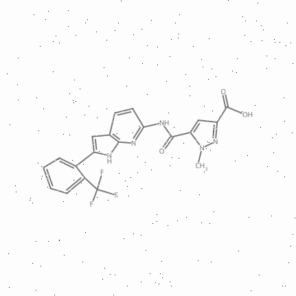 Cn1nc(C(=O)O)cc1C(=O)Nc1ccc2cc(-c3ccccc3C(F)(F)F)[nH]c2n1